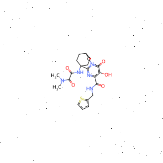 CN(C)C(=O)C(=O)NC12CCC(CC1)Cn1c2nc(C(=O)NCc2cccs2)c(O)c1=O